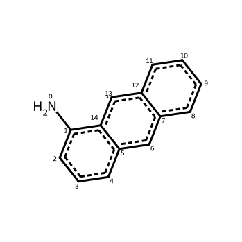 Nc1cccc2cc3ccccc3[c]c12